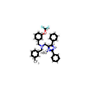 CCCCn1c(-c2ccccc2)nc(-c2ccccc2)c1CN(Cc1cccc(OC(F)F)c1)Cc1cccc(C(F)(F)F)c1